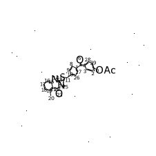 CC(=O)Oc1ccc(C(=O)c2ccc(CSc3nc4cccc(C)c4c(=O)n3C)cc2)cc1